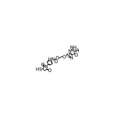 Nc1nc2c(ncn2COCCOC(=O)Nc2ccc(N3C(=O)CC(S)C3=O)cc2)c(=O)[nH]1